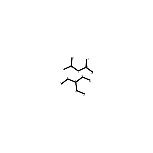 CC(C)CC(C)C.CCC(CC)CC